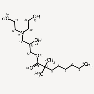 CCCCCCC(C)(C)C(=O)OCC(O)CN(CCO)CCO